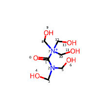 O=C(N(CO)CO)[N+](CO)(CO)CO